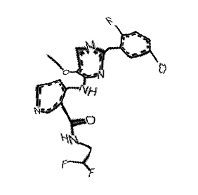 COc1cnc(-c2cc(Cl)ccc2F)nc1Nc1ccncc1C(=O)NCC(F)F